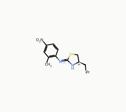 Cc1cc([N+](=O)[O-])ccc1/N=C1/N[C@H](CC(C)C)CS1